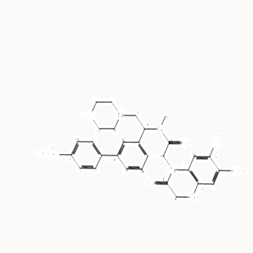 CN(C(=O)CN1C(=O)COc2cc(Cl)c(Cl)cc21)C(CN1CCOCC1)c1cccc(-c2ccc(C(=O)O)cc2)c1